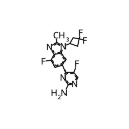 Cc1nc2c(F)cc(-c3nc(N)ncc3F)cc2n1C1CC(F)(F)C1